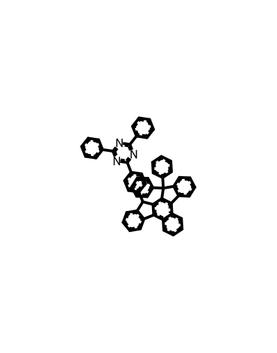 c1ccc(-c2nc(-c3ccccc3)nc(-c3ccc(C4c5ccccc5-c5c4c4c(c6ccccc56)-c5ccccc5C4(c4ccccc4)c4ccccc4)cc3)n2)cc1